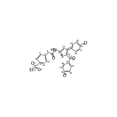 CCS(=O)(=O)c1ccc(CC(=O)Nc2cc(-c3ccc(Cl)cc3)c(C(=O)c3ccc(Cl)cc3)s2)cc1